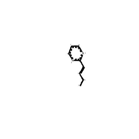 CCC=[C]c1ncccn1